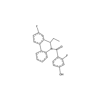 CCC1c2cc(F)ccc2-c2ccccc2N1C(=O)c1ccc(O)cc1F